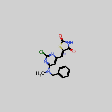 CN(Cc1ccccc1)c1cc(/C=C2\SC(=O)NC2=O)nc(Cl)n1